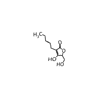 CCCCCC1=C(O)C(CO)OC1=O